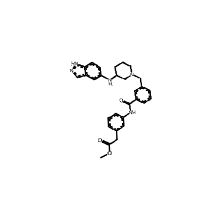 COC(=O)Cc1cccc(NC(=O)c2cccc(CN3CCCC(Nc4ccc5[nH]ncc5c4)C3)c2)c1